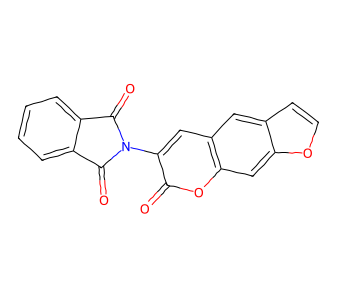 O=C1c2ccccc2C(=O)N1c1cc2cc3ccoc3cc2oc1=O